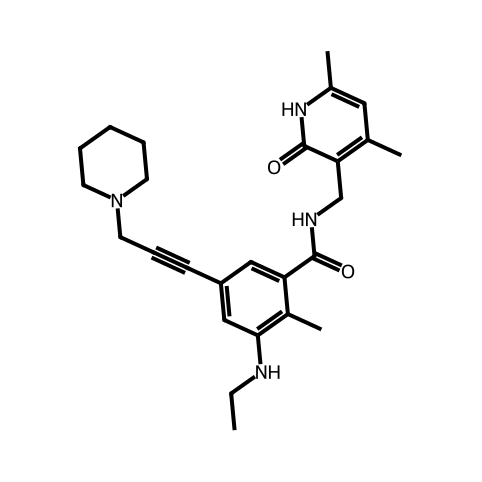 CCNc1cc(C#CCN2CCCCC2)cc(C(=O)NCc2c(C)cc(C)[nH]c2=O)c1C